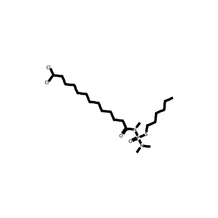 CCCCCCSP(=O)(N(C)C)N(C)C(=O)CCCCCCCCCCCC(Cl)Cl